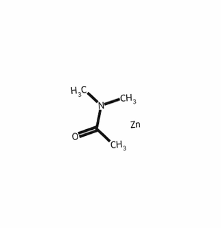 CC(=O)N(C)C.[Zn]